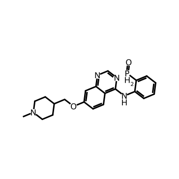 CN1CCC(COc2ccc3c(Nc4ccccc4[PH2]=O)ncnc3c2)CC1